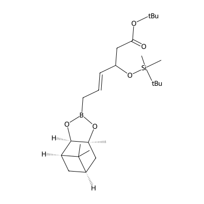 CC(C)(C)OC(=O)CC(C=CCB1O[C@@H]2[C@@H]3C[C@H](C[C@]2(C)O1)C3(C)C)O[Si](C)(C)C(C)(C)C